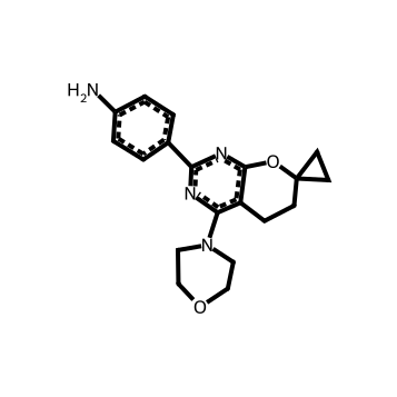 Nc1ccc(-c2nc3c(c(N4CCOCC4)n2)CCC2(CC2)O3)cc1